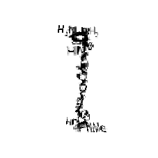 CNC(=O)[C@@H](NC(=O)CCOCCOCCOCCOCCNC(=O)c1ccc(N)c(N)c1)C(C)C